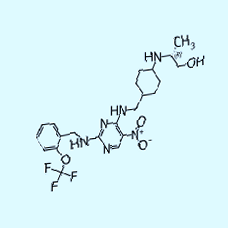 C[C@H](CO)NC1CCC(CNc2nc(NCc3ccccc3OC(F)(F)F)ncc2[N+](=O)[O-])CC1